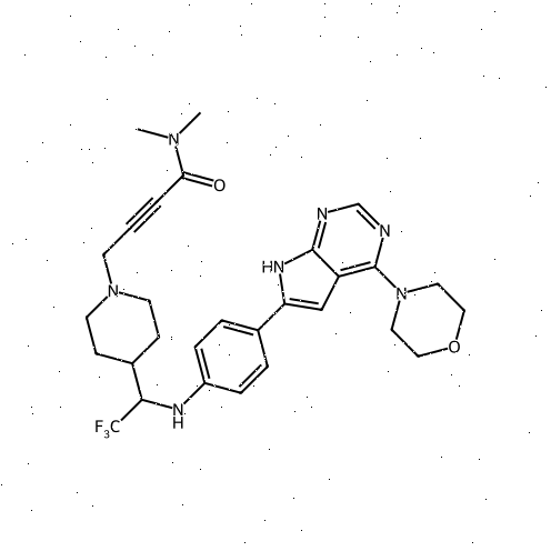 CN(C)C(=O)C#CCN1CCC(C(Nc2ccc(-c3cc4c(N5CCOCC5)ncnc4[nH]3)cc2)C(F)(F)F)CC1